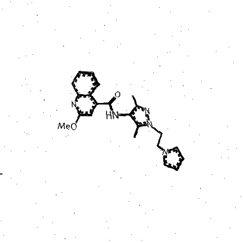 COc1cc(C(=O)Nc2c(C)nn(CCn3cccc3)c2C)c2ccccc2n1